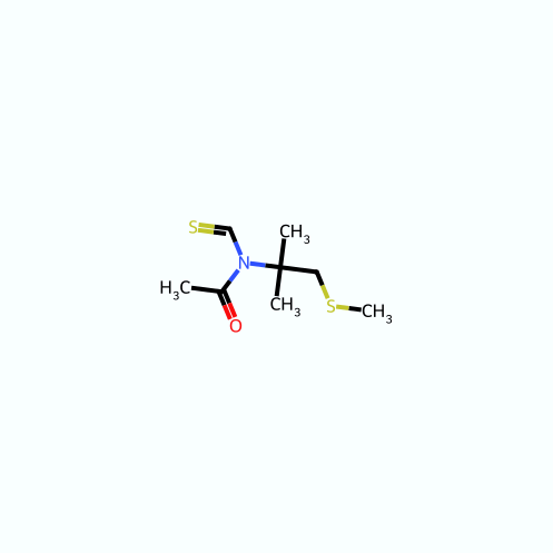 CSCC(C)(C)N(C=S)C(C)=O